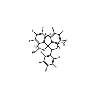 OCCC(c1c(F)c(F)c(F)c(F)c1F)C(OB(O)O)(c1c(F)c(F)c(F)c(F)c1F)c1c(F)c(F)c(F)c(F)c1F